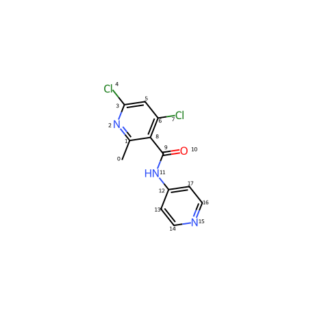 Cc1nc(Cl)cc(Cl)c1C(=O)Nc1ccncc1